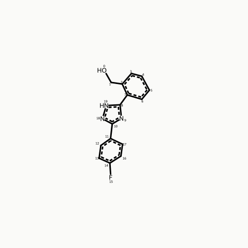 OCc1ccccc1-c1nc(-c2ccc(F)cc2)n[nH]1